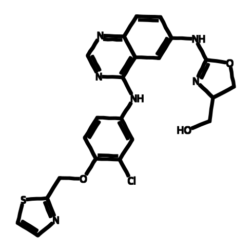 OCC1COC(Nc2ccc3ncnc(Nc4ccc(OCc5nccs5)c(Cl)c4)c3c2)=N1